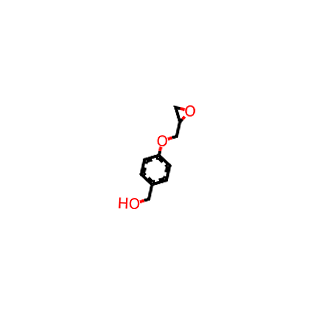 OCc1ccc(OCC2CO2)cc1